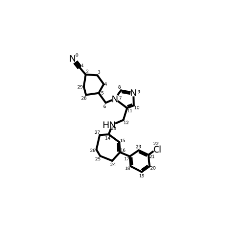 N#CC1CCC(Cn2cncc2CNC2C=C(c3cccc(Cl)c3)CCCC2)CC1